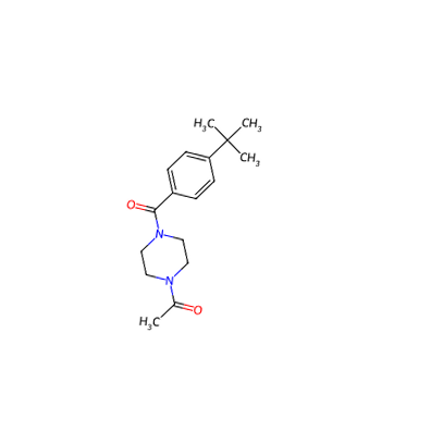 CC(=O)N1CCN(C(=O)c2ccc(C(C)(C)C)cc2)CC1